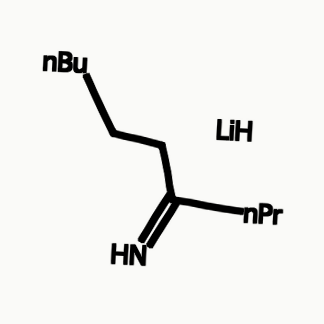 [CH2]CCC(=N)CCCCCC.[LiH]